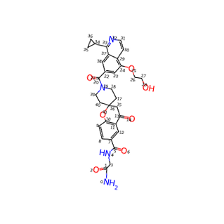 NC(=O)CNC(=O)c1ccc2c(c1)C(=O)CC1(CCN(C(=O)c3cc(OCCO)c4ccnc(C5CC5)c4c3)CC1)O2